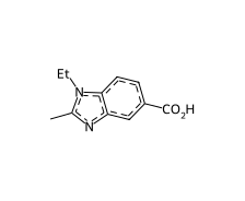 CCn1c(C)nc2cc(C(=O)O)ccc21